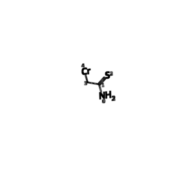 NC(=S)[CH2][Cr]